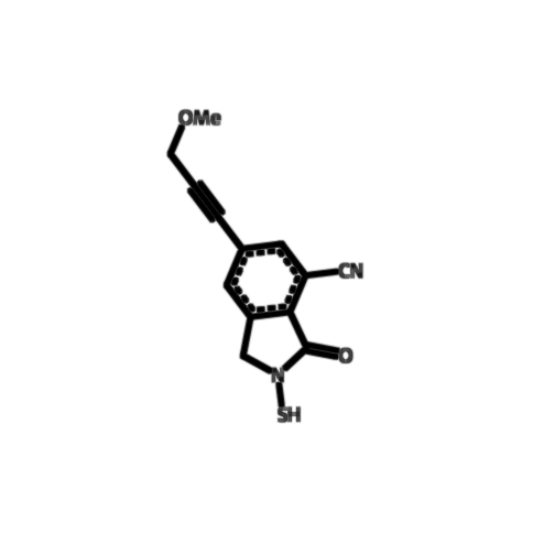 COCC#Cc1cc(C#N)c2c(c1)CN(S)C2=O